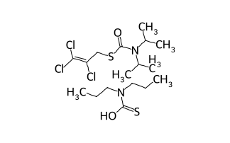 CC(C)N(C(=O)SCC(Cl)=C(Cl)Cl)C(C)C.CCCN(CCC)C(O)=S